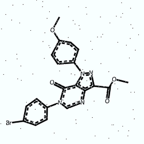 COC(=O)c1nn(-c2ccc(OC)cc2)c2c(=O)n(-c3ccc(Br)cc3)cnc12